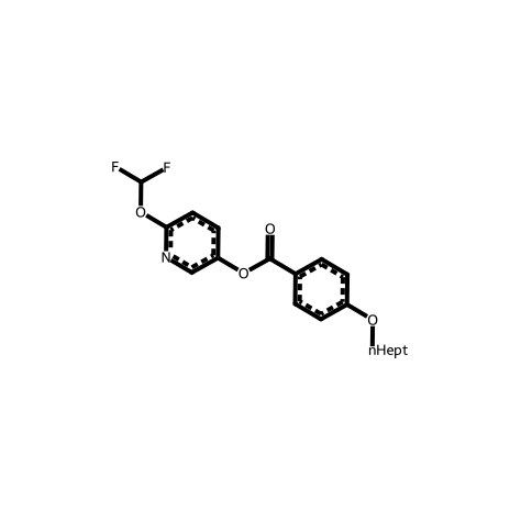 CCCCCCCOc1ccc(C(=O)Oc2ccc(OC(F)F)nc2)cc1